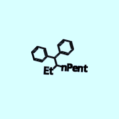 CCCCCC(CC)C(c1ccccc1)c1ccccc1